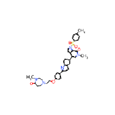 Cc1ccc(S(=O)(=O)n2ccc3c(-c4ccc5nc(-c6ccc(OCCN7CCC(=O)N(C)CC7)cc6)ccc5c4)cn(C)c(=O)c32)cc1